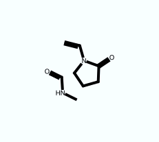 C=CN1CCCC1=O.CNC=O